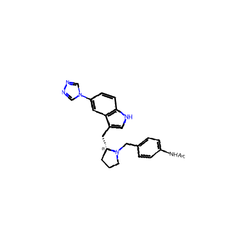 CC(=O)Nc1ccc(CN2CCC[C@@H]2Cc2c[nH]c3ccc(-n4cnnc4)cc23)cc1